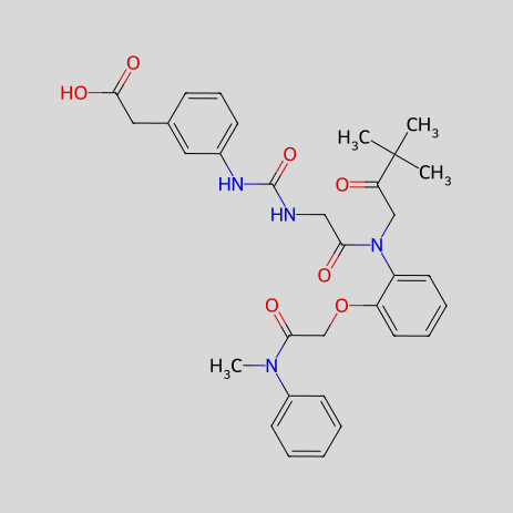 CN(C(=O)COc1ccccc1N(CC(=O)C(C)(C)C)C(=O)CNC(=O)Nc1cccc(CC(=O)O)c1)c1ccccc1